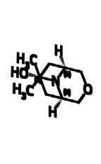 CC(C)N1[C@@H]2COC[C@H]1C[C@H](O)C2